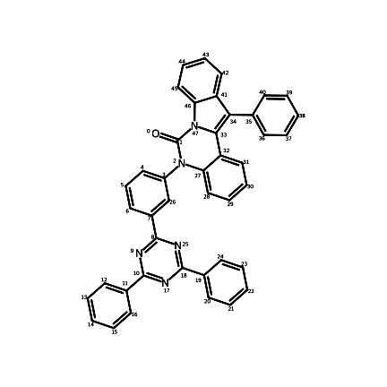 O=c1n(-c2cccc(-c3nc(-c4ccccc4)nc(-c4ccccc4)n3)c2)c2ccccc2c2c(-c3ccccc3)c3ccccc3n12